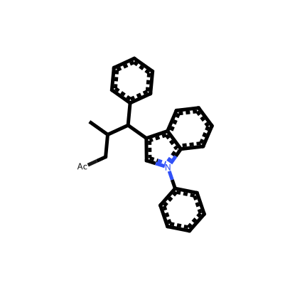 CC(=O)CC(C)C(c1ccccc1)c1cn(-c2ccccc2)c2ccccc12